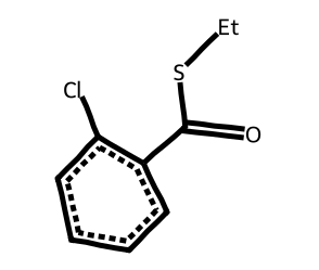 CCSC(=O)c1ccccc1Cl